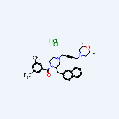 C[C@@H]1CN(CC#CCN2CCN(C(=O)c3cc(C(F)(F)F)cc(C(F)(F)F)c3)[C@H](Cc3ccc4ccccc4c3)C2)C[C@H](C)O1.Cl.Cl